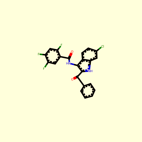 O=C(Nc1c(C(=O)c2ccccc2)[nH]c2cc(Cl)ccc12)c1cc(F)c(F)cc1F